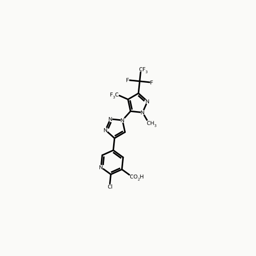 Cn1nc(C(F)(F)C(F)(F)F)c(C(F)(F)F)c1-n1cc(-c2cnc(Cl)c(C(=O)O)c2)nn1